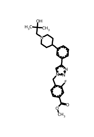 COC(=O)c1ccc(Cn2cc(-c3cccc(C4CCN(CC(C)(C)O)CC4)c3)nn2)c(F)c1